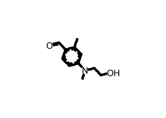 Cc1cc(N(C)CCO)ccc1C=O